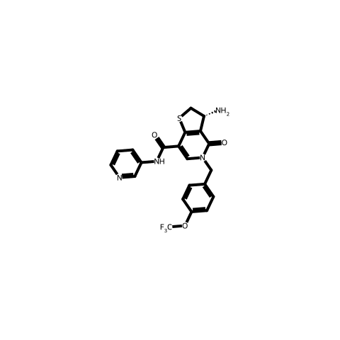 N[C@H]1CSc2c(C(=O)Nc3cccnc3)cn(Cc3ccc(OC(F)(F)F)cc3)c(=O)c21